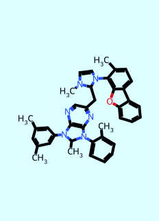 Cc1cc(C)cc(N2c3ncc(CC4N(C)C=CN4c4c(C)ccc5c4oc4ccccc45)nc3N(c3ccccc3C)C2C)c1